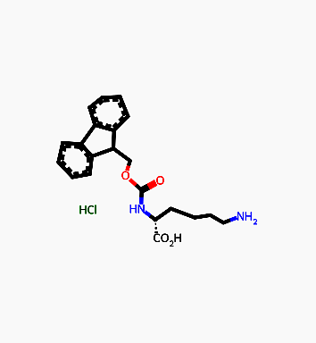 Cl.NCCCC[C@@H](NC(=O)OCC1c2ccccc2-c2ccccc21)C(=O)O